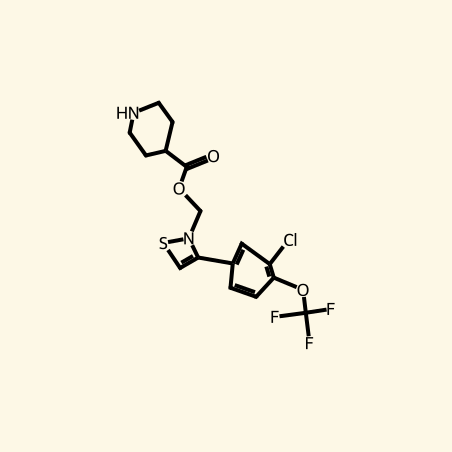 O=C(OCn1scc1-c1ccc(OC(F)(F)F)c(Cl)c1)C1CCNCC1